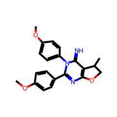 COc1ccc(-c2nc3c(c(=N)n2-c2ccc(OC)cc2)C(C)CO3)cc1